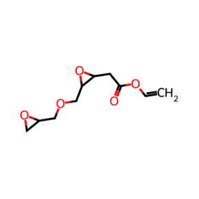 C=COC(=O)CC1OC1COCC1CO1